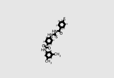 Cc1cc(C)cc(NS(=O)(=O)c2ccc(NC(=S)NC(=O)c3ccc(F)cc3)cc2)c1